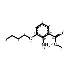 CCCCOc1cccc(C(=O)OC)c1N